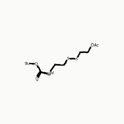 CC(=O)OCCSSCCNC(=O)OC(C)(C)C